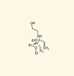 C=CC(=O)OCC.CCCC.CCOCC.OCCO